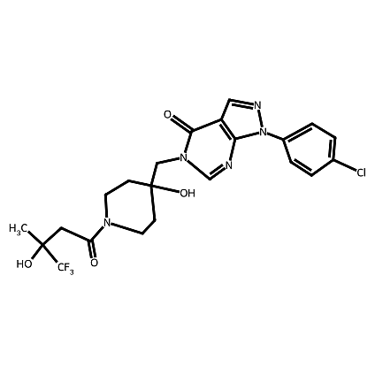 CC(O)(CC(=O)N1CCC(O)(Cn2cnc3c(cnn3-c3ccc(Cl)cc3)c2=O)CC1)C(F)(F)F